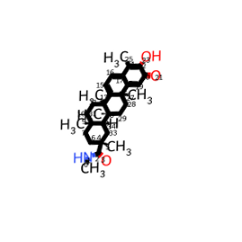 CNC(=O)[C@]1(C)CC[C@]2(C)CCC3(C)C4=CC=C5C(=CC(=O)C(O)=C5C)[C@]4(C)CC[C@@]3(C)[C@@H]2C1